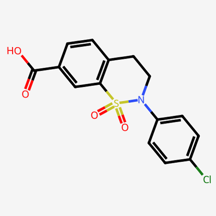 O=C(O)c1ccc2c(c1)S(=O)(=O)N(c1ccc(Cl)cc1)CC2